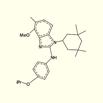 COc1c(C)ccc2c1nc(Nc1ccc(OC(C)C)cc1)n2C1CC(C)(C)CC(C)(C)C1